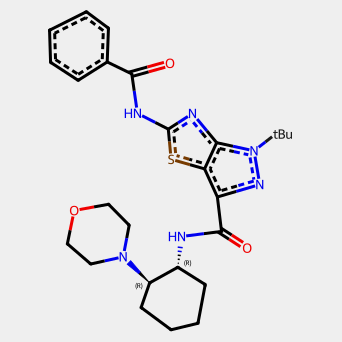 CC(C)(C)n1nc(C(=O)N[C@@H]2CCCC[C@H]2N2CCOCC2)c2sc(NC(=O)c3ccccc3)nc21